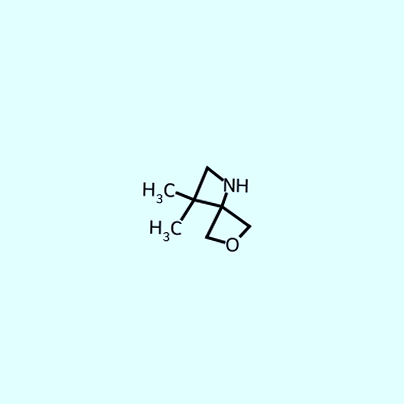 CC1(C)CNC12COC2